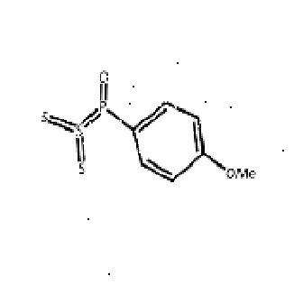 COc1ccc(P(=O)=S(=S)=S)cc1